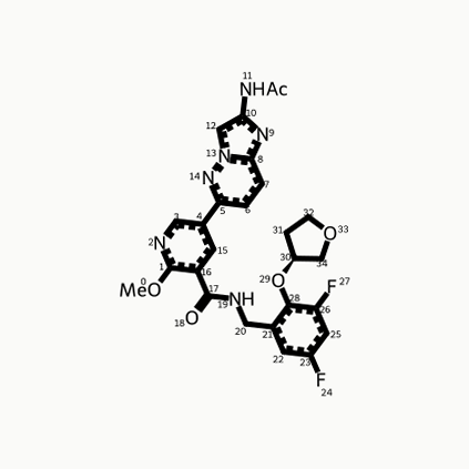 COc1ncc(-c2ccc3nc(NC(C)=O)cn3n2)cc1C(=O)NCc1cc(F)cc(F)c1O[C@H]1CCOC1